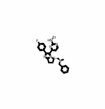 CCNc1nccc(-c2c(-c3ccc(F)cc3)nc3n2[C@H](CN(C)Cc2ccccc2)CC3)n1